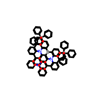 c1ccc(-c2cccc(-c3ccccc3)c2N2c3cc([Si](c4ccccc4)(c4ccccc4)c4ccccc4)ccc3B3c4ccc([Si](c5ccccc5)(c5ccccc5)c5ccccc5)cc4N(c4c(-c5ccccc5)cccc4-c4ccccc4)c4cc(N(c5ccccc5)c5ccccc5)cc2c43)cc1